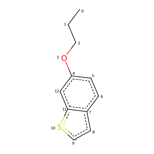 CCCOc1ccc2c[c]sc2c1